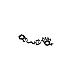 Fc1ccc2c(N3CCN(CCCN4Cc5ccccc5C4)CC3)n[nH]c2c1